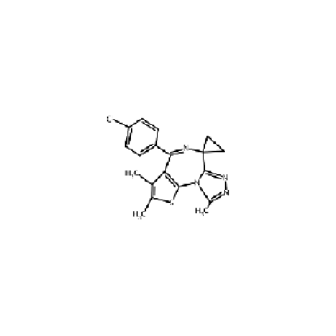 Cc1sc2c(c1C)C(c1ccc(Cl)cc1)=NC1(CC1)c1nnc(C)n1-2